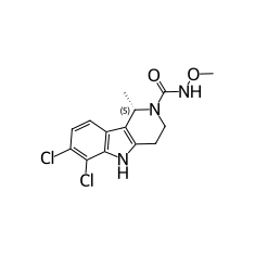 CONC(=O)N1CCc2[nH]c3c(Cl)c(Cl)ccc3c2[C@@H]1C